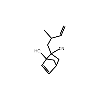 C=CC(C)CC1(C#N)CC2C=CC1(O)C2